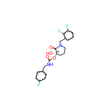 O=C(NCc1ccc(F)cc1)O[C@]1(O)CCCN(Cc2cccc(F)c2F)C1=O